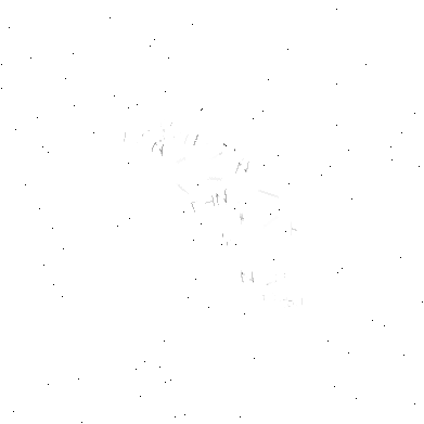 CC(C)(C)OC(=O)N1CCC[C@@H](Oc2cc(F)ccc2Nc2ncnc3cc(N=S(C)(C)=O)cc(F)c23)C1